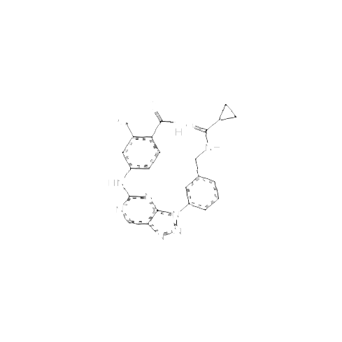 O=C(O)c1ccc(Nc2ncc3nnn(-c4cccc(CNC(=O)C5CC5)c4)c3n2)cc1Cl